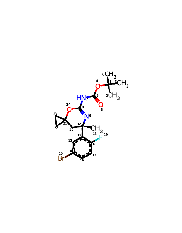 CC(C)(C)OC(=O)NC1=N[C@](C)(c2cc(Br)ccc2F)CC2(CC2)O1